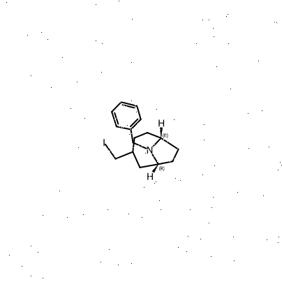 ICC1CC[C@@H]2CC[C@H](C1)N2Cc1ccccc1